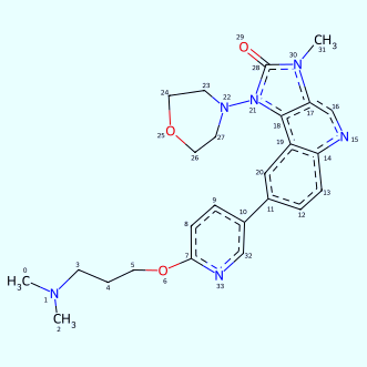 CN(C)CCCOc1ccc(-c2ccc3ncc4c(c3c2)n(N2CCOCC2)c(=O)n4C)cn1